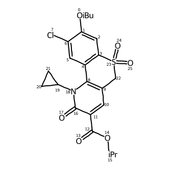 CC(C)COc1cc2c(cc1Cl)-c1c(cc(C(=O)OC(C)C)c(=O)n1C1CC1)CS2(=O)=O